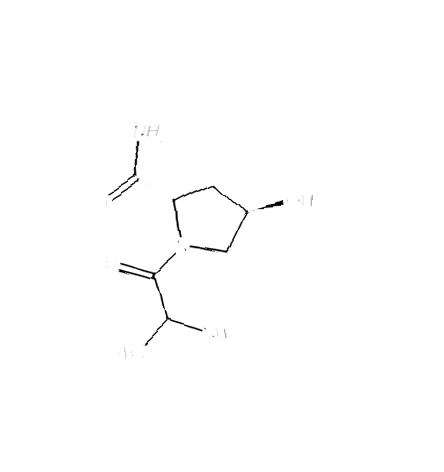 CC(C)(C)C(N)C(=O)N1C[C@H](O)C[C@H]1C(N)=O